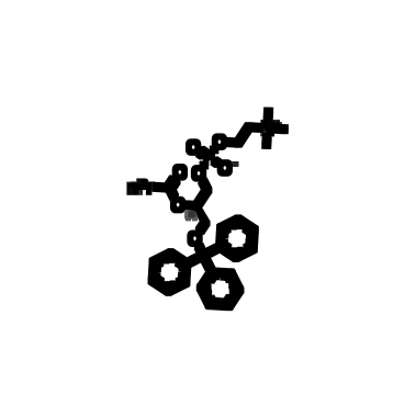 CCCC(=O)O[C@H](COC(c1ccccc1)(c1ccccc1)c1ccccc1)COP(=O)([O-])OCC[N+](C)(C)C